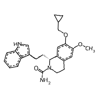 COc1cc2c(cc1OCC1CC1)[C@@H](CCc1c[nH]c3ccccc13)N(C(N)=O)CC2